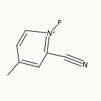 Cc1cc[n+](F)c(C#N)c1